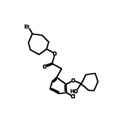 CCC1CCCC(OC(=O)Cc2cccc(Cl)c2OC2(O)CCCCC2)CC1